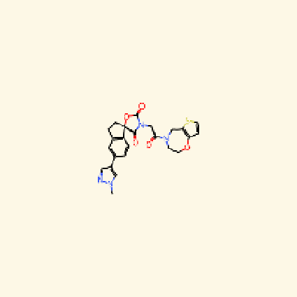 Cn1cc(-c2ccc3c(c2)CC[C@]32OC(=O)N(CC(=O)N3CCOc4ccsc4C3)C2=O)cn1